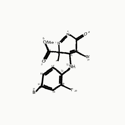 COC(=O)C1(C)N=NC(=O)C(Br)=C1Nc1ccc(Br)cc1F